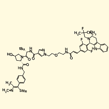 C=N/C(C)=C(\SC)c1ccc(CNC(=O)[C@@H]2C[C@@H](O)CN2C(=O)[C@@H](NC(=O)c2cnn(CCOCCNC(=O)/C=C/c3cc(F)c([C@@H]4c5[nH]c6ccccc6c5C[C@@H](C)N4CC(C)(C)F)c(F)c3)c2)C(C)(C)C)cc1